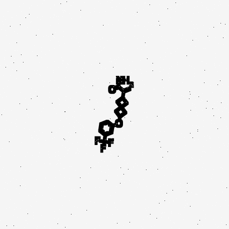 C=C(C(N)=O)C1CC2(CC(Oc3cccc(C(F)(F)F)c3)C2)C1